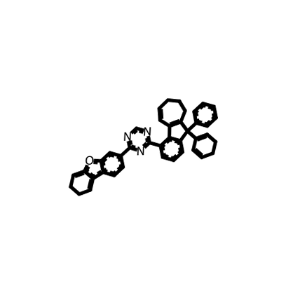 C1=CC(C2(c3ccccc3)C3=C(C=CCCC3)c3c(-c4ncnc(-c5ccc6c7c(oc6c5)=CCCC=7)n4)cccc32)=CCC1